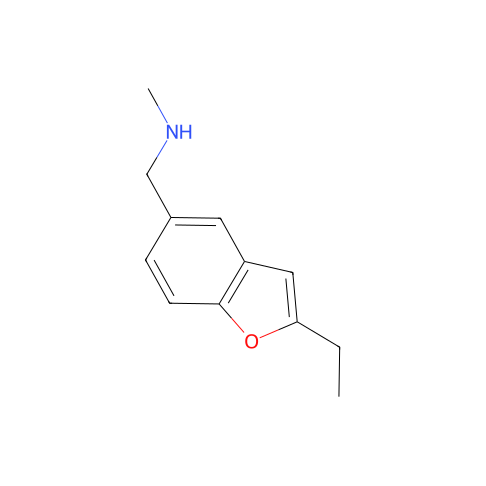 CCc1cc2cc(CNC)ccc2o1